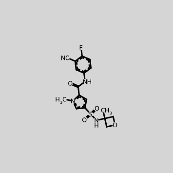 Cn1cc(S(=O)(=O)NC2(C)COC2)cc1C(=O)Nc1ccc(F)c(C#N)c1